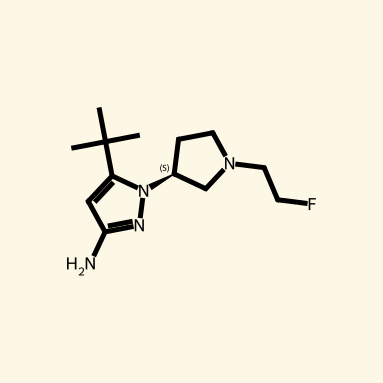 CC(C)(C)c1cc(N)nn1[C@H]1CCN(CCF)C1